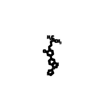 CN(C)CCCn1ccc(-c2ccc3c(c2)ncn3-c2ccsc2)cc1=O